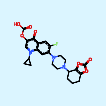 O=C(O)Oc1cn(C2CC2)c2cc(N3CCN(C4CCCc5oc(=O)oc54)CC3)c(F)cc2c1=O